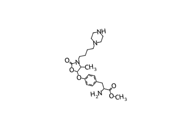 COC(=O)C(N)Cc1ccc(OC2OC(=O)N(CCCCN3CCNCC3)C2C)cc1